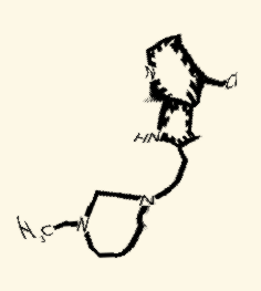 CN1CCCN(Cc2cc3c(Cl)ccnc3[nH]2)CC1